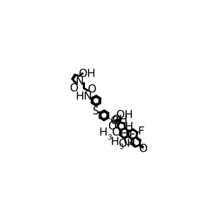 C[C@]12C=CC(=O)C=C1[C@@H](F)C[C@H]1[C@@H]3C[C@H]4O[C@@H](c5ccc(Sc6cccc(NC(=O)CCN7C(=O)C=CC7O)c6)cc5)O[C@@]4(C(=O)CO)[C@@]3(C)C[C@H](O)[C@@]12F